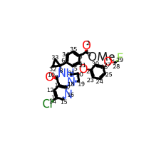 COC(=O)c1ccc(C2(NC(=O)c3cc(Cl)cnc3N3CC(Oc4cccc(OCF)c4)C3)CC2)cc1